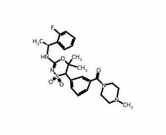 C[C@H](NC1=NS(=O)(=O)C(c2cccc(C(=O)N3CCN(C)CC3)c2)C(C)(C)O1)c1ccccc1F